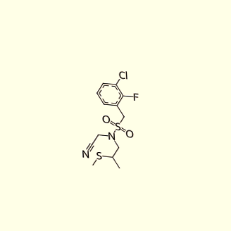 CSC(C)CN(CC#N)S(=O)(=O)Cc1cccc(Cl)c1F